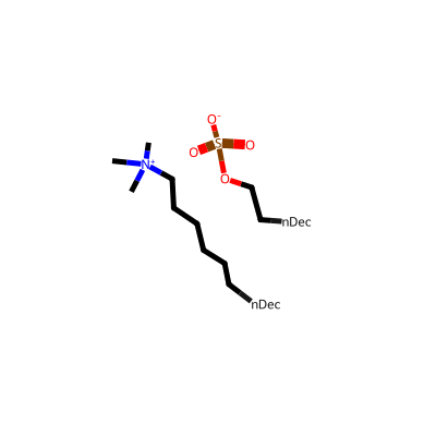 CCCCCCCCCCCCCCCC[N+](C)(C)C.CCCCCCCCCCCCOS(=O)(=O)[O-]